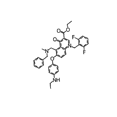 CCNc1ccc(Oc2ccc3c(c2CN(C)Cc2ccccc2)c(=O)c(C(=O)OCC)cn3Cc2c(F)cccc2F)cc1